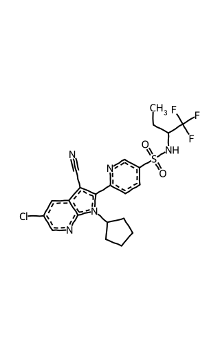 CCC(NS(=O)(=O)c1ccc(-c2c(C#N)c3cc(Cl)cnc3n2C2CCCC2)nc1)C(F)(F)F